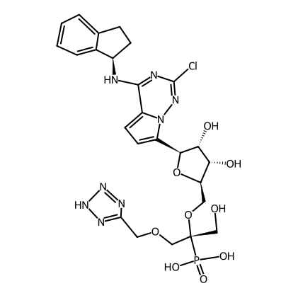 O=P(O)(O)[C@](CO)(COCc1nn[nH]n1)OC[C@H]1O[C@@H](c2ccc3c(N[C@@H]4CCc5ccccc54)nc(Cl)nn23)[C@H](O)[C@@H]1O